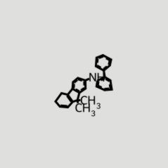 CC1(C)C2=C(CCC=C2)c2ccc(Nc3ccccc3-c3ccccc3)cc21